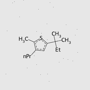 CCCc1cc(C(C)(C)CC)sc1C